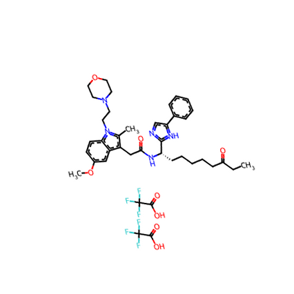 CCC(=O)CCCCC[C@H](NC(=O)Cc1c(C)n(CCN2CCOCC2)c2ccc(OC)cc12)c1ncc(-c2ccccc2)[nH]1.O=C(O)C(F)(F)F.O=C(O)C(F)(F)F